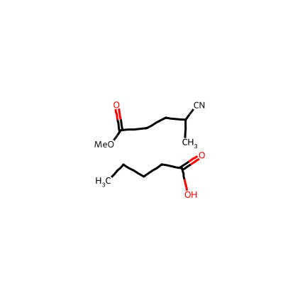 CCCCC(=O)O.COC(=O)CCC(C)C#N